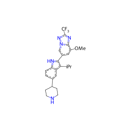 COc1cc(-c2[nH]c3ccc(C4CCNCC4)cc3c2C(C)C)cn2nc(C(F)(F)F)nc12